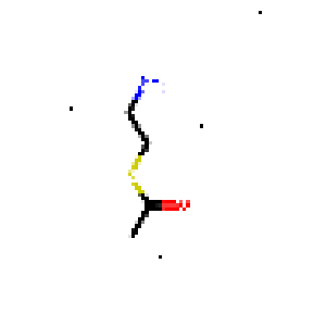 CC(=O)SC[CH]N